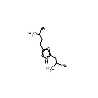 [CH2]C(C)C(C)CCc1c[nH]c(CC(C)C(C)CC)n1